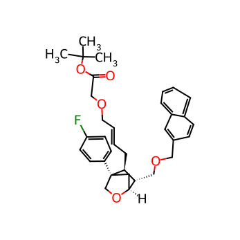 CC(C)(C)OC(=O)COC/C=C/C[C@H]1[C@H](COCc2ccc3ccccc3c2)[C@@H]2C[C@@]1(c1ccc(F)cc1)CO2